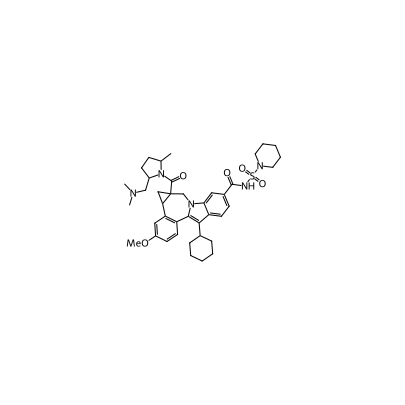 COc1ccc2c(c1)C1CC1(C(=O)N1C(C)CCC1CN(C)C)Cn1c-2c(C2CCCCC2)c2ccc(C(=O)NS(=O)(=O)N3CCCCC3)cc21